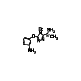 CCn1c(Oc2cccc(N)c2)nnc1[C@@H](C)N